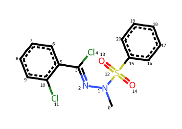 CN(N=C(Cl)c1ccccc1Cl)S(=O)(=O)c1ccccc1